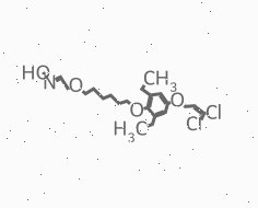 CCc1cc(OCC=C(Cl)Cl)cc(CC)c1OCCCCCCOCC=NO